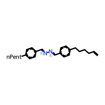 C=CCCCCc1ccc(/C=N/N=C/c2ccc(CCCCC)cc2)cc1